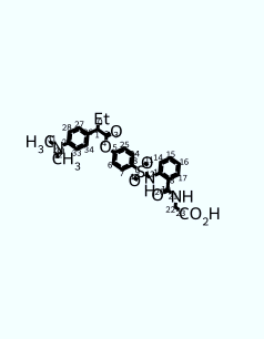 CCC(C(=O)Oc1ccc(S(=O)(=O)Nc2ccccc2C(=O)NCC(=O)O)cc1)c1ccc(N(C)C)cc1